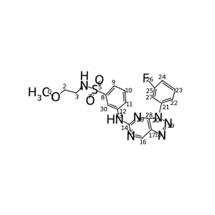 COCCNS(=O)(=O)c1cccc(Nc2ncc3nnn(-c4cccc(F)c4)c3n2)c1